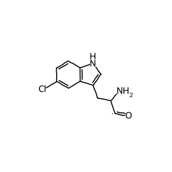 NC([C]=O)Cc1c[nH]c2ccc(Cl)cc12